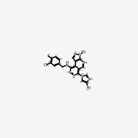 CCn1ncc2c3c(NCc4ccc(C)c(Cl)c4)nnc(-n4cnc(C(C)=O)c4)c3cnc21